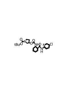 CC(C)(C)OC(=O)N1CCC(OC(=O)Nc2ccccc2C(=O)Nc2ccc(Cl)cn2)C1